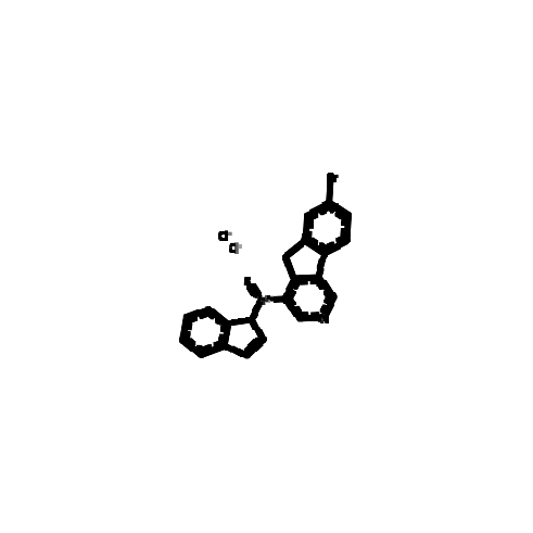 [Cl-].[Cl-].[S]=[Zr+2]([c]1cncc2c1Cc1cc(Br)ccc1-2)[CH]1C=Cc2ccccc21